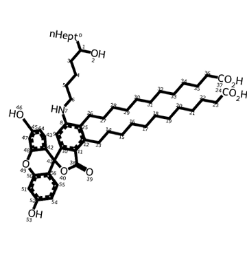 CCCCCCCC(O)CCCCNc1cc2c(c(CCCCCCCCCCCC(=O)O)c1CCCCCCCCCCCC(=O)O)C(=O)OC21c2ccc(O)cc2Oc2cc(O)ccc21